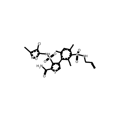 C=CCNS(=O)(=O)c1c(C)cc(C)c(-c2csc(C(N)=O)c2S(=O)(=O)Nc2onc(C)c2Cl)c1C